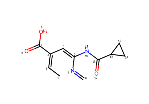 C=N/C(=C\C(=C/C)C(=O)O)NC(=O)C1CC1